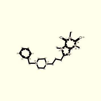 Cn1c(=O)c2c(nc(CCCN3CCN(Cc4ccccc4)CC3)n2C)n(C)c1=O